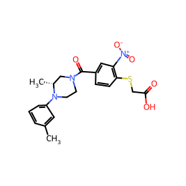 Cc1cccc(N2CCN(C(=O)c3ccc(SCC(=O)O)c([N+](=O)[O-])c3)C[C@H]2C)c1